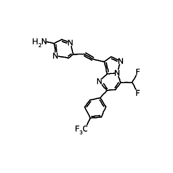 Nc1cnc(C#Cc2cnn3c(C(F)F)cc(-c4ccc(C(F)(F)F)cc4)nc23)cn1